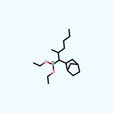 CCCCC(C)C(C1CC2CCC1C2)[SiH](OCC)OCC